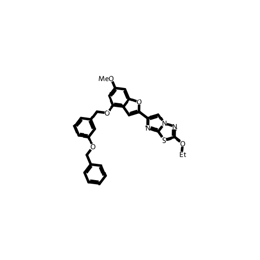 CCOc1nn2cc(-c3cc4c(OCc5cccc(OCc6ccccc6)c5)cc(OC)cc4o3)nc2s1